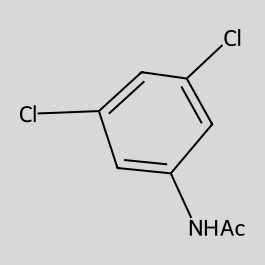 [CH2]C(=O)Nc1cc(Cl)cc(Cl)c1